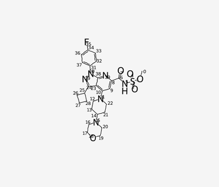 COS(=O)(=O)NC(=O)c1cc(N2CCC(N3CCOCC3)CC2)c2c(C3CCC3)nn(-c3ccc(F)cc3)c2n1